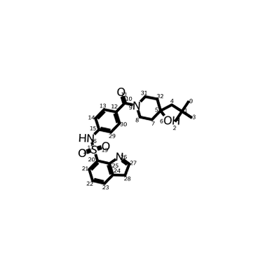 CC(C)(C)CC1(O)CCN(C(=O)c2ccc(NS(=O)(=O)c3cccc4c3N=CC4)cc2)CC1